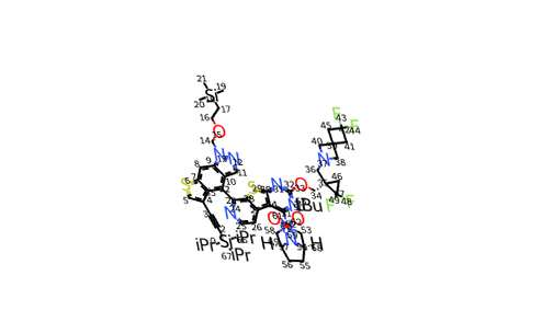 CC(C)[Si](C#Cc1csc2cc3c(cnn3COCC[Si](C)(C)C)c(-c3nccc4c3sc3nc(OC[C@]5(CN6CC7(C6)CC(F)(F)C7)CC5(F)F)nc(N5C[C@H]6CC[C@@H](C5)N6C(=O)OC(C)(C)C)c34)c12)(C(C)C)C(C)C